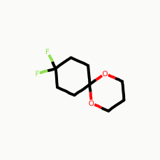 FC1(F)CCC2(CC1)OCCCO2